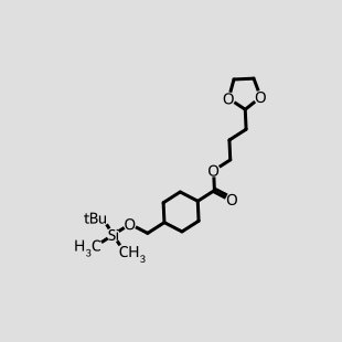 CC(C)(C)[Si](C)(C)OCC1CCC(C(=O)OCCCC2OCCO2)CC1